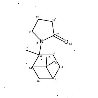 CC1(C)C2CCC(C)(N3CCCC3=O)C1C2